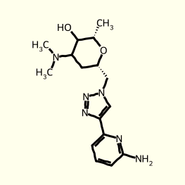 C[C@@H]1O[C@H](Cn2cc(-c3cccc(N)n3)nn2)CC(N(C)C)C1O